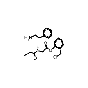 CCC(=O)NCC(=O)Oc1ccccc1CCl.NCCc1ccccc1